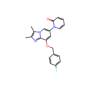 Cc1nc2c(OCc3ccc(F)cc3)cc(-n3ccccc3=O)cn2c1C